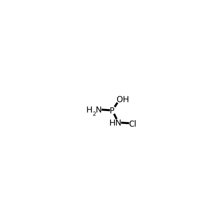 NP(O)NCl